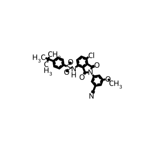 COc1cc(C#N)cc(N2C(=O)c3c(Cl)ccc(NS(=O)(=O)c4ccc(C(C)(C)C)cc4)c3C2=O)c1